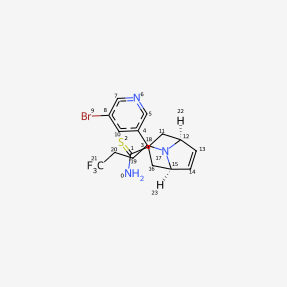 NC(=S)C1(c2cncc(Br)c2)C[C@H]2C=C[C@@H](C1)N2CCCC(F)(F)F